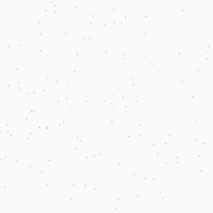 CN1CCN(CC(NC(=O)CC2c3cccn3CCN2S(=O)(=O)c2ccccc2)c2ccccc2)CC1